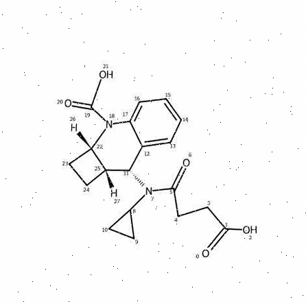 O=C(O)CCC(=O)N(C1CC1)[C@H]1c2ccccc2N(C(=O)O)[C@H]2CC[C@H]21